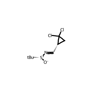 CC(C)(C)[S@@+]([O-])/N=C/[C@H]1CC1(Cl)Cl